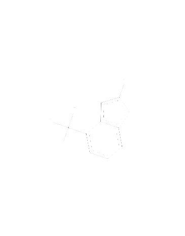 Cc1[c]c2c(C(F)(F)F)cccc2s1